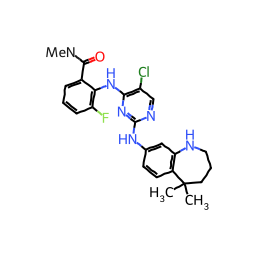 CNC(=O)c1cccc(F)c1Nc1nc(Nc2ccc3c(c2)NCCCC3(C)C)ncc1Cl